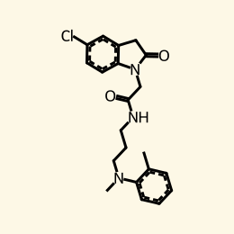 Cc1ccccc1N(C)CCCNC(=O)CN1C(=O)Cc2cc(Cl)ccc21